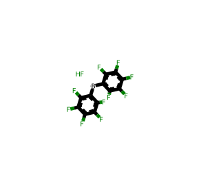 F.Fc1c(F)c(F)c([B]c2c(F)c(F)c(F)c(F)c2F)c(F)c1F